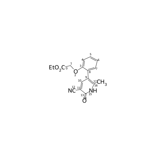 CCOC(=O)COc1ccccc1-c1cc(C#N)c(=O)[nH]c1C